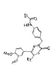 CCC(=O)Nc1ccc(CN2N=C(c3ccc(OC)c(O)c3)C(CC)SC2=O)cc1